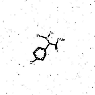 COC(=O)C(c1ccc(Cl)cc1)N(C(C)=O)C(C)C